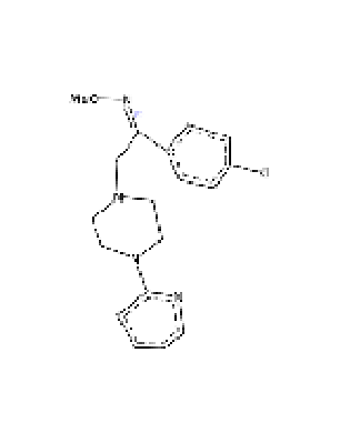 CO/N=C(\CN1CCN(c2ccccn2)CC1)c1ccc(Cl)cc1